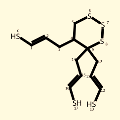 SC=CCC1CSSSC1(CC=CS)CC=CS